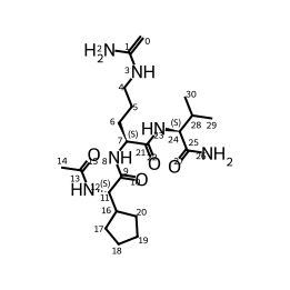 C=C(N)NCCC[C@H](NC(=O)[C@@H](NC(C)=O)C1CCCC1)C(=O)N[C@H](C(N)=O)C(C)C